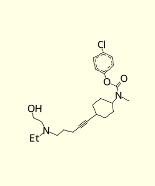 CCN(CCO)CCCC#CC1CCC(N(C)C(=O)Oc2ccc(Cl)cc2)CC1